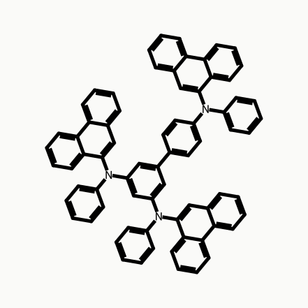 c1ccc(N(c2ccc(-c3cc(N(c4ccccc4)c4cc5ccccc5c5ccccc45)cc(N(c4ccccc4)c4cc5ccccc5c5ccccc45)c3)cc2)c2cc3ccccc3c3ccccc23)cc1